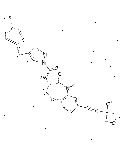 CN1C(=O)[C@@H](NC(=O)n2cc(Cc3ccc(F)cc3)cn2)COc2ccc(C#CC3(O)COC3)cc21